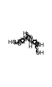 OCCCN1NCc2ccc(Nc3ncc(F)c(Nc4ccc5oc(CO)cc5c4)n3)cc21